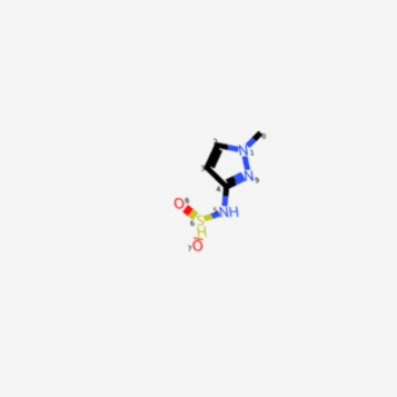 Cn1ccc(N[SH](=O)=O)n1